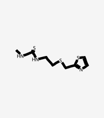 CNC(=S)NCCSCc1nccs1